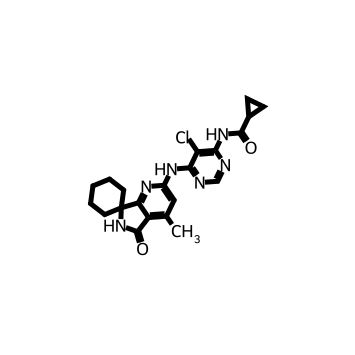 Cc1cc(Nc2ncnc(NC(=O)C3CC3)c2Cl)nc2c1C(=O)NC21CCCCC1